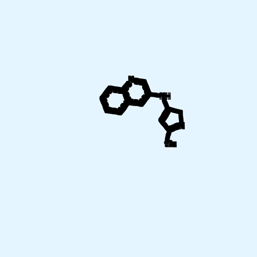 CC(C)(C)C1=NCC(Nc2cnc3ccccc3c2)=C1